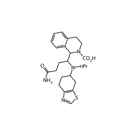 CCCN(C1CCc2ncsc2C1)C(CCC(N)=O)C1c2ccccc2CCN1C(=O)O